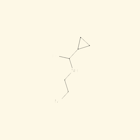 CC(NCCC#N)C1CC1